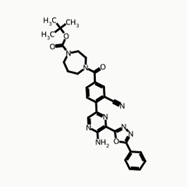 CC(C)(C)OC(=O)N1CCCN(C(=O)c2ccc(-c3cnc(N)c(-c4nnc(-c5ccccc5)o4)n3)c(C#N)c2)CC1